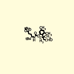 Cc1cc(C)c(C(C)(C)CC=O)c(OC(=O)N[C@@H](CCC(=O)OC(C)(C)C)C(C)(C)C)c1